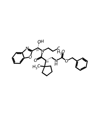 CCCN(C(=O)[C@H](CNC(=O)OCc1ccccc1)C1(C)CCCC1)[C@@H](O)c1nc2ccccc2o1